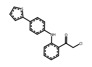 O=C(CCl)c1ccccc1Nc1ccc(-c2cccs2)cc1